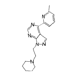 Cc1cccc(-c2ncnc3c2cnn3CCN2CCCCC2)n1